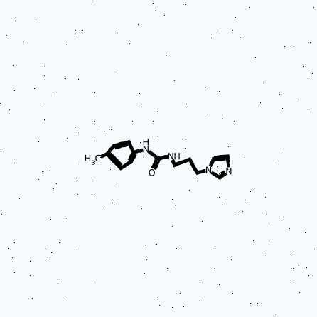 Cc1ccc(NC(=O)NCCCn2ccnc2)cc1